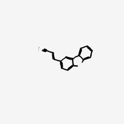 N#CC=Cc1ccc2sc3ccccc3c2c1